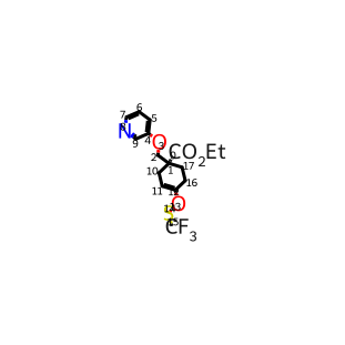 CCOC(=O)C1(COc2cccnc2)CC=C(OSC(F)(F)F)CC1